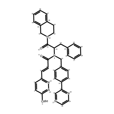 COc1ccc(C=CC(=O)N(Cc2ccc(-c3cnccn3)cc2)C(Cc2ccccc2)C(=O)N2CCc3ccccc3C2)nn1